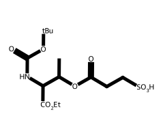 CCOC(=O)C(NC(=O)OC(C)(C)C)C(C)OC(=O)CCS(=O)(=O)O